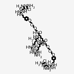 N=C(N)NCCCC[C@@H](N)C(=O)NC(CCCC(NC(=O)[C@H](N)CCCCNC(=N)N)C(=O)NCCOCCOCCOc1ccc(CCNC(=N)NC(=O)c2nc(Cl)c(N)nc2N)cc1)C(=O)NCCOCCOCCOc1ccc(CCNC(=N)NC(=O)c2nc(Cl)c(N)nc2N)cc1